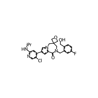 CC(C)Nc1cc(-c2cc3n(c2)CC2(COC2)CN(Cc2cc(F)ccc2CO)C3=O)c(Cl)cn1